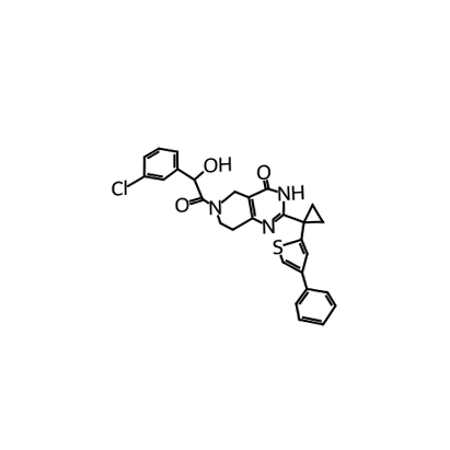 O=C(C(O)c1cccc(Cl)c1)N1CCc2nc(C3(c4cc(-c5ccccc5)cs4)CC3)[nH]c(=O)c2C1